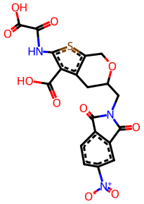 O=C(O)C(=O)Nc1sc2c(c1C(=O)O)CC(CN1C(=O)c3ccc([N+](=O)[O-])cc3C1=O)OC2